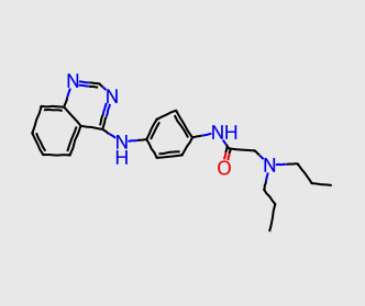 CCCN(CCC)CC(=O)Nc1ccc(Nc2ncnc3ccccc23)cc1